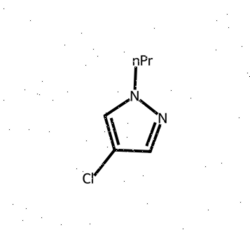 CCCn1cc(Cl)cn1